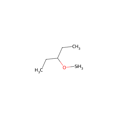 CCC(CC)O[SiH3]